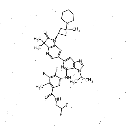 Cc1c(C(=O)NCC(F)F)cc(Nc2nc(-c3cnc4c(c3)N([C@H]3C[C@@](C)(N5CCCCC5)C3)C(=O)C4(C)C)cc3ncn(C(C)C)c23)c(F)c1F